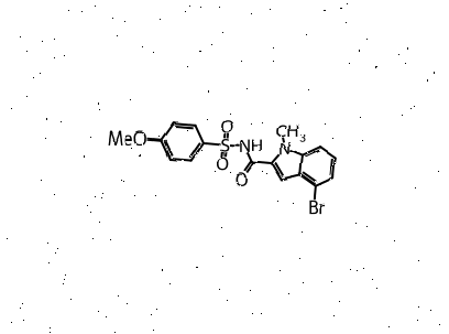 COc1ccc(S(=O)(=O)NC(=O)c2cc3c(Br)cccc3n2C)cc1